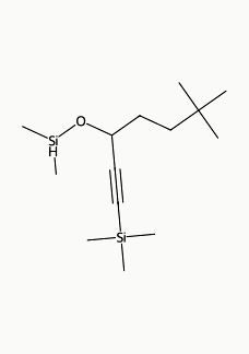 C[SiH](C)OC(C#C[Si](C)(C)C)CCC(C)(C)C